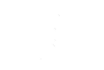 CCN(CCNC(=O)C1=NN(c2ccc(Cl)cc2Cl)C(c2ccc(Cl)cc2)C1)C1CCCCC1